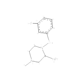 CCCC1CN(C)CCN1Sc1cccc(F)c1